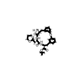 CC(C)(C)OC(=O)[C@@H]1Cc2cccc(c2)Oc2cccc(c2)C[C@H](N)C(=O)N[C@@H](CC2OCCCO2)C(=O)N1